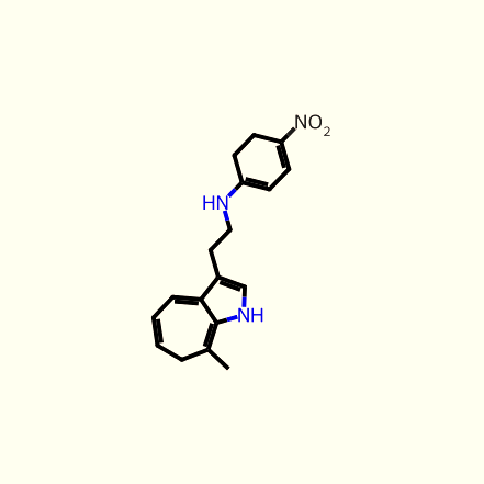 CC1=c2[nH]cc(CCNC3=CC=C([N+](=O)[O-])CC3)c2=CC=CC1